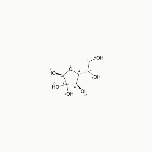 OCC(O)[C@H]1O[C@H](O)C(O)(O)[C@@H]1O